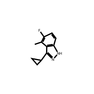 Cc1c(F)ccc2[nH]nc(C3CC3)c12